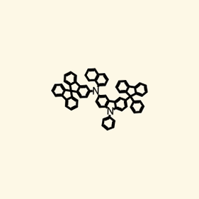 C1=Cc2cccc(N(c3ccc4c(c3)-c3ccccc3C43c4ccccc4-c4ccccc43)c3ccc4c(c3)c3cc(C5(c6ccccc6)c6ccccc6-c6ccccc65)ccc3n4-c3ccccc3)c2CC1